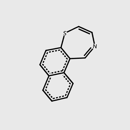 C1=CSc2ccc3ccccc3c2C=N1